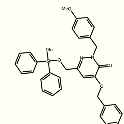 COc1ccc(Cn2nc(CO[Si](c3ccccc3)(c3ccccc3)C(C)(C)C)cc(OCc3ccccc3)c2=O)cc1